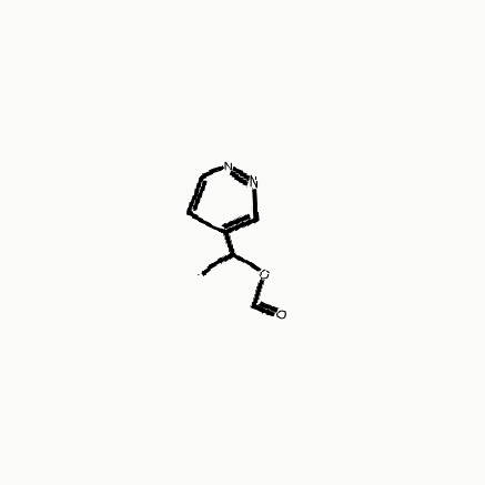 [CH2]C(OC=O)c1ccnnc1